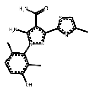 Cc1csc(-c2nn(-c3c(C)ccc(O)c3C)c(N)c2C(N)=O)n1